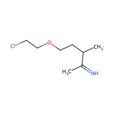 [CH2]C(CCOCCCl)C(C)=N